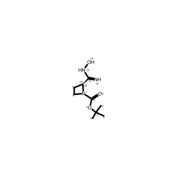 CC(C)(C)OC(=O)N1CC[C@H]1C(=N)NO